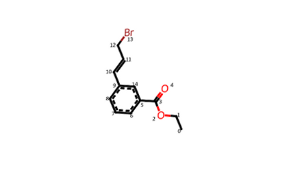 CCOC(=O)c1cccc(C=CCBr)c1